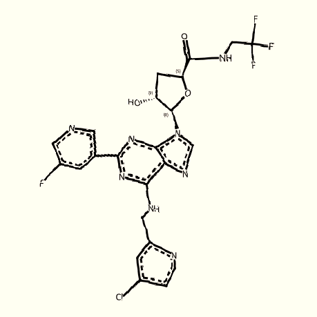 O=C(NCC(F)(F)F)[C@@H]1C[C@@H](O)[C@H](n2cnc3c(NCc4cc(Cl)ccn4)nc(-c4cncc(F)c4)nc32)O1